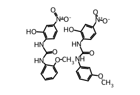 COc1cccc(NC(=O)Nc2ccc([N+](=O)[O-])cc2O)c1.COc1ccccc1NC(=O)Nc1ccc([N+](=O)[O-])cc1O